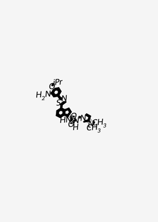 CC(C)Oc1ccc(-c2ncc(-c3cccc4c3CC[C@@H]4NS(=O)(=O)NCN3CC[C@H](N(C)C)C3)s2)cc1N